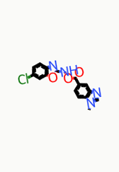 Cn1cnc2cc(C(=O)ONc3nc4ccc(Cl)cc4o3)ccc21